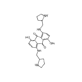 O=C1c2c(O)ccc(NCC3CCCN3)c2C(=O)c2c(O)ccc(NCC3CCCN3)c21